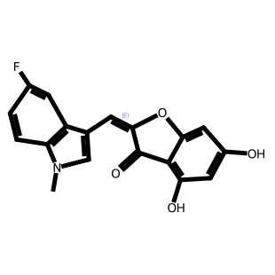 Cn1cc(/C=C2/Oc3cc(O)cc(O)c3C2=O)c2cc(F)ccc21